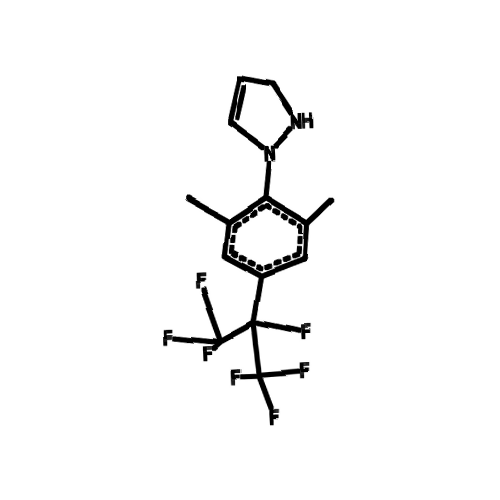 Cc1cc(C(F)(C(F)(F)F)C(F)(F)F)cc(C)c1N1C=CCN1